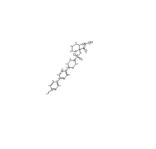 O=C(NO)C1(CS(=O)(=O)N2CCN(c3ncc(-c4ccc(F)cc4)cn3)CC2)CCCCC1